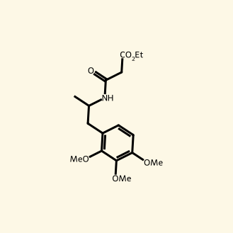 CCOC(=O)CC(=O)NC(C)Cc1ccc(OC)c(OC)c1OC